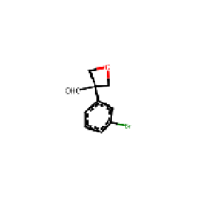 O=CC1(c2cccc(Br)c2)COC1